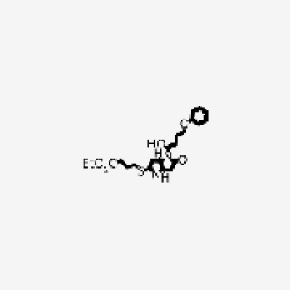 CCOC(=O)CCCSC1=N[C@@H]2CC(=O)N(C(O)=CCCOc3ccccc3)[C@@H]2C1